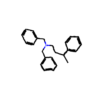 CC(CCN(Cc1ccccc1)Cc1ccccc1)c1ccccc1